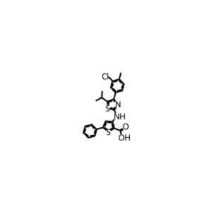 Cc1ccc(-c2nc(Nc3cc(-c4ccccc4)sc3C(=O)O)sc2C(C)C)cc1Cl